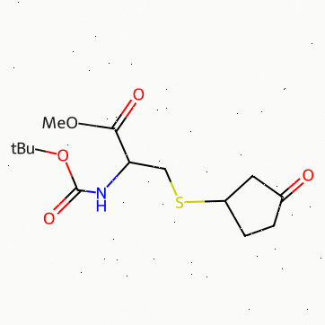 COC(=O)C(CSC1CCC(=O)C1)NC(=O)OC(C)(C)C